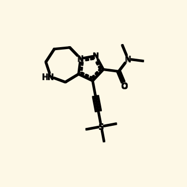 CN(C)C(=O)c1nn2c(c1C#CS(C)(C)C)CNCCC2